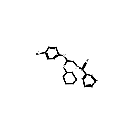 CCC(C)c1ccc(OC(COC(=O)c2ccccc2)OC2CCCCC2)cc1